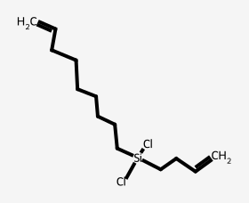 C=CCCCCCCC[Si](Cl)(Cl)CCC=C